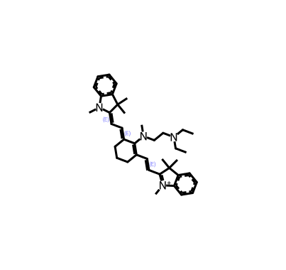 CCN(CC)CCN(C)C1=C(/C=C/C2=[N+](C)c3ccccc3C2(C)C)CCC/C1=C\C=C1\N(C)c2ccccc2C1(C)C